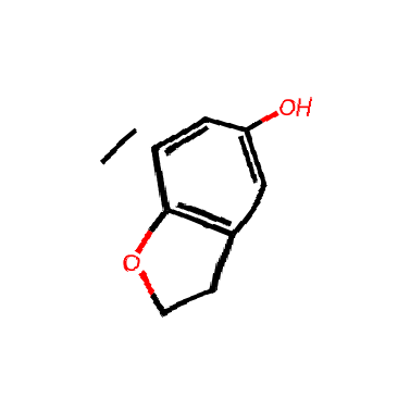 CC.Oc1ccc2c(c1)CCO2